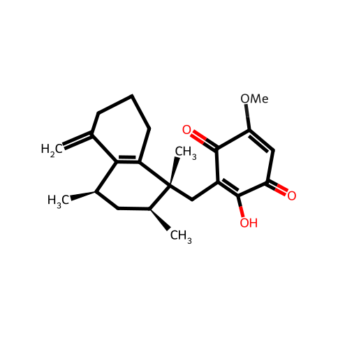 C=C1CCCC2=C1[C@H](C)C[C@H](C)[C@@]2(C)CC1=C(O)C(=O)C=C(OC)C1=O